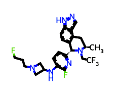 C[C@@H]1Cc2c(ccc3[nH]ncc23)[C@@H](c2ccc(NC3CN(CCCF)C3)c(F)n2)N1CC(F)(F)F